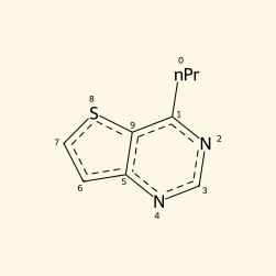 CCCc1ncnc2ccsc12